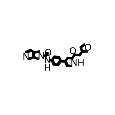 O=C(CC1CCOC1)C1CC(c2ccc(NC(=O)N3Cc4ccncc4C3)cc2)=CCN1